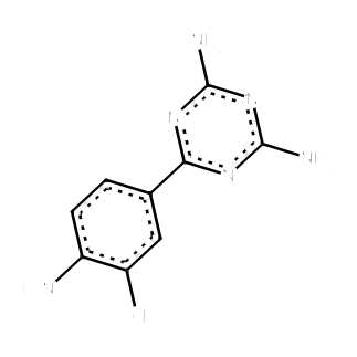 Nc1nc(N)nc(-c2ccc(N)c(Cl)c2)n1